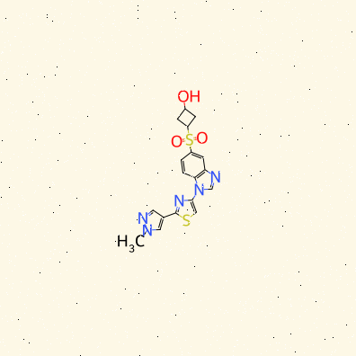 Cn1cc(-c2nc(-n3cnc4cc(S(=O)(=O)C5CC(O)C5)ccc43)cs2)cn1